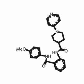 COc1ccc(NC(=O)c2ccccc2NC(=O)C2CCN(c3ccncc3)CC2)cc1